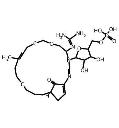 C/C1=C\CCCCCC(N=C(N)N)N(C2OC(COP(=O)(O)O)C(O)C2O)/C=N\C2=CC[C@H](CCCCCC1)C2=O